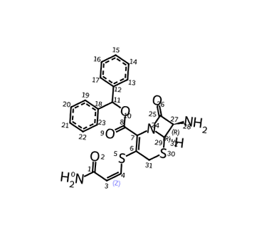 NC(=O)/C=C\SC1=C(C(=O)OC(c2ccccc2)c2ccccc2)N2C(=O)[C@@H](N)[C@H]2SC1